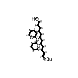 C1CCC(OC2CCCCO2)OC1.CCCCC=CCCCCCCCCCCO